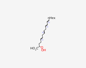 CCCCCC/C=C/C=C/C/C=C/C/C=C/CCC(OO)C(=O)O